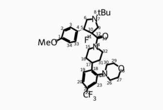 COc1ccc([C@@H]2CN(C(C)(C)C)C[C@@]2(F)C(=O)N2CCC(c3ccc(C(F)(F)F)cc3N3CCOCC3)CC2)cc1